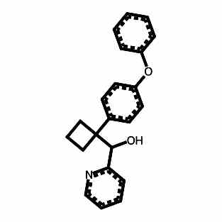 OC(c1ccccn1)C1(c2ccc(Oc3ccccc3)cc2)CCC1